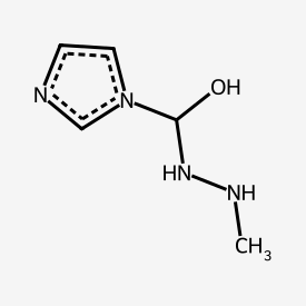 CNNC(O)n1ccnc1